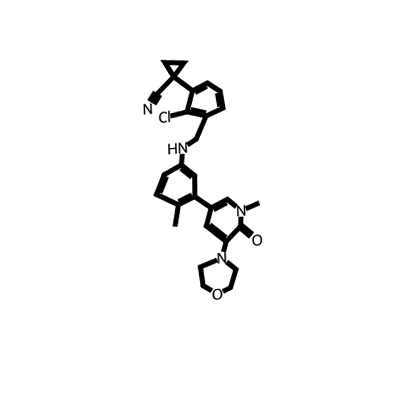 Cc1ccc(NCc2cccc(C3(C#N)CC3)c2Cl)cc1-c1cc(N2CCOCC2)c(=O)n(C)c1